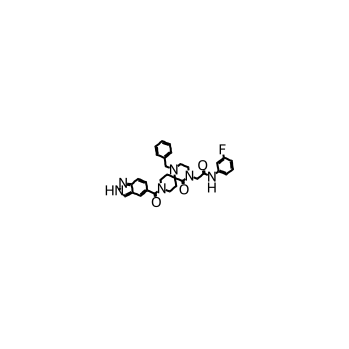 O=C(CN1CCN(Cc2ccccc2)C2(CCN(C(=O)c3ccc4n[nH]cc4c3)CC2)C1=O)Nc1cccc(F)c1